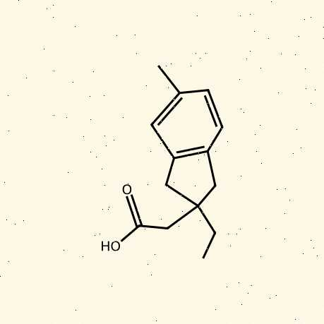 CCC1(CC(=O)O)Cc2ccc(C)cc2C1